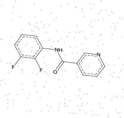 O=C(Nc1cccc(F)c1F)c1cccnc1